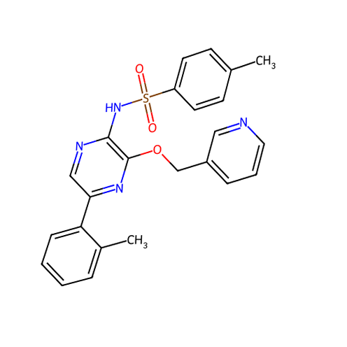 Cc1ccc(S(=O)(=O)Nc2ncc(-c3ccccc3C)nc2OCc2cccnc2)cc1